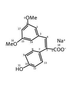 COc1cc(/C=C(/C(=O)[O-])c2ccc(O)cc2)cc(OC)c1.[Na+]